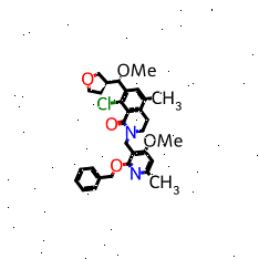 COc1cc(C)nc(OCc2ccccc2)c1CN1CCc2c(C)cc([C@@H](OC)[C@H]3CCOC3)c(Cl)c2C1=O